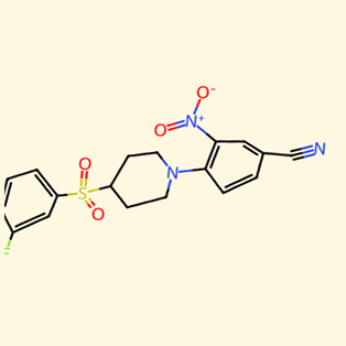 N#Cc1ccc(N2CCC(S(=O)(=O)c3cccc(F)c3)CC2)c([N+](=O)[O-])c1